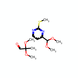 COC(C)(C=O)OC.COC(OC)c1ccnc(SC)n1